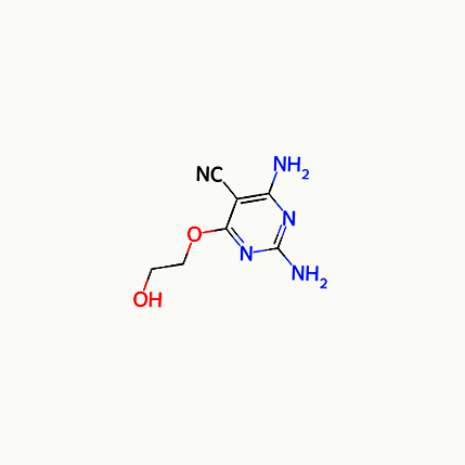 N#Cc1c(N)nc(N)nc1OCCO